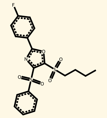 CCCCS(=O)(=O)c1oc(-c2ccc(F)cc2)nc1S(=O)(=O)c1ccccc1